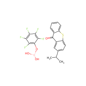 CC(C)c1ccc2sc3ccccc3c(=O)c2c1.OB(O)Oc1c(F)c(F)c(F)c(F)c1F